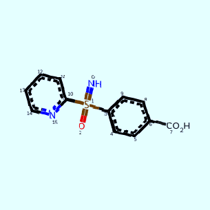 N=S(=O)(c1ccc(C(=O)O)cc1)c1ccccn1